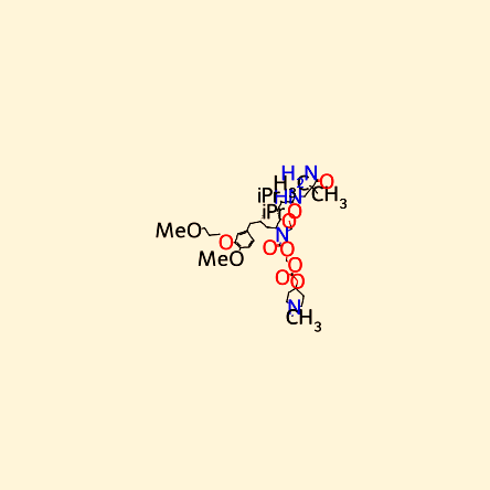 COCCCOc1cc(C[C@@H](C[C@H]2[C@H](C[C@H](C(=O)NCC(C)(C)C(N)=O)C(C)C)OCN2C(=O)OCOC(=O)OC2CCN(C)CC2)C(C)C)ccc1OC